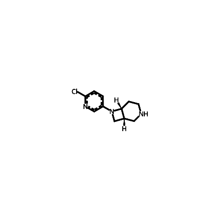 Clc1ccc(N2C[C@H]3CNCC[C@H]32)cn1